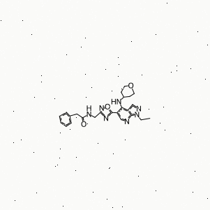 CCn1ncc2c(NC3CCOCC3)c(-c3nc(CNC(=O)Cc4ccccc4)no3)cnc21